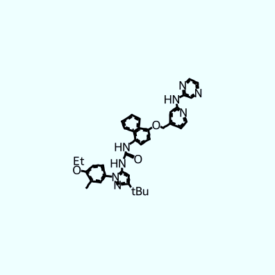 CCOc1ccc(-n2nc(C(C)(C)C)cc2NC(=O)Nc2ccc(OCc3ccnc(Nc4cnccn4)c3)c3ccccc23)cc1C